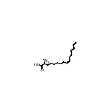 CCCCCC/C=C\CCCCCCC(N)C(=O)O